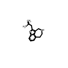 C=C(N)Cc1sc2cccc3c2c1CNCC3